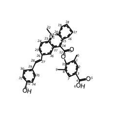 Cc1cc(C(=O)O)cc(C)c1OC(=O)c1c2ccccc2[n+](C)c2ccc(C=Cc3ccc(O)cc3)cc12